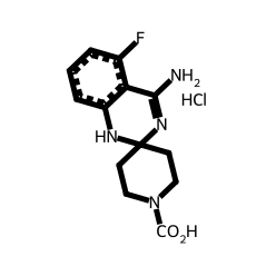 Cl.NC1=NC2(CCN(C(=O)O)CC2)Nc2cccc(F)c21